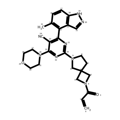 C=CC(=O)N1CC2(CCN(c3nc(-c4c(C)ccc5[nH]ncc45)c(C#N)c(N4CCOCC4)n3)C2)C1